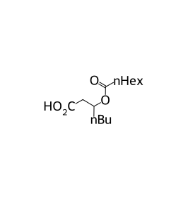 CCCCCCC(=O)OC(CCCC)CC(=O)O